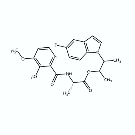 COc1ccnc(C(=O)N[C@@H](C)C(=O)OC(C)C(C)n2ccc3cc(F)ccc32)c1O